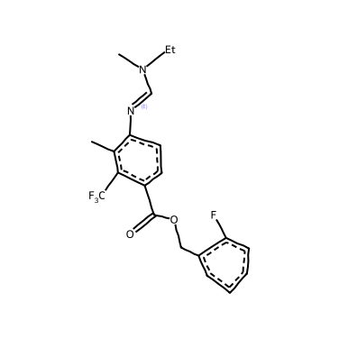 CCN(C)/C=N/c1ccc(C(=O)OCc2ccccc2F)c(C(F)(F)F)c1C